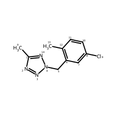 Cc1nnn(Cc2cc(Cl)ccc2C)n1